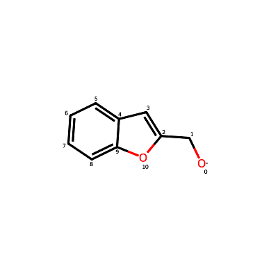 [O]Cc1cc2ccccc2o1